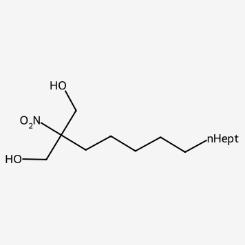 CCCCCCCCCCCCC(CO)(CO)[N+](=O)[O-]